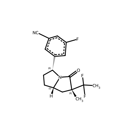 CC(F)(F)[C@]1(C)C[C@@H]2CC[C@H](c3cc(F)cc(C#N)c3)N2C1=O